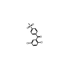 CS(=O)(=O)c1ccc(C(=O)c2cc(Cl)ccc2Cl)cc1